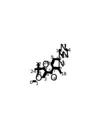 CCO/C=C(/C(=O)c1ccc(-n2cncn2)nc1C)C(=O)C(C)(C)C